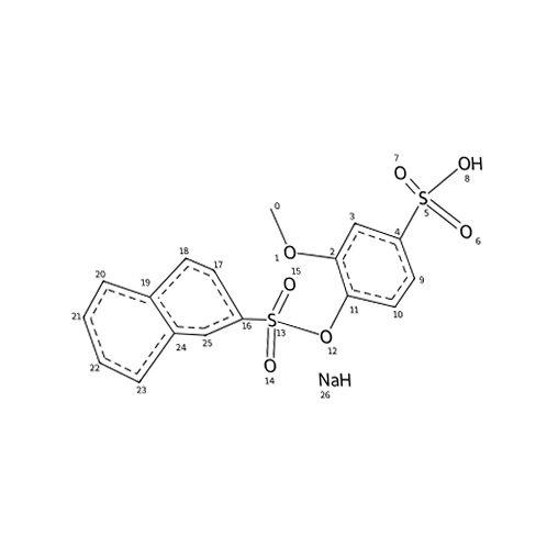 COc1cc(S(=O)(=O)O)ccc1OS(=O)(=O)c1ccc2ccccc2c1.[NaH]